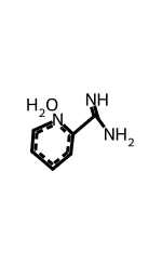 N=C(N)c1ccccn1.O